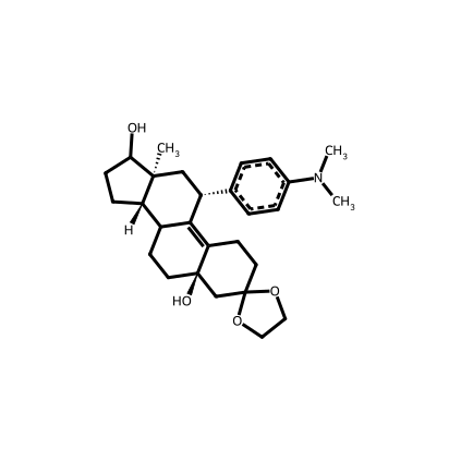 CN(C)c1ccc([C@H]2C[C@]3(C)C(O)CC[C@H]3C3CC[C@@]4(O)CC5(CCC4=C32)OCCO5)cc1